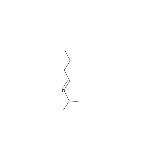 CCCC=NC(C)C